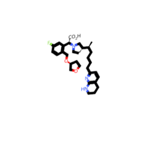 C[C@@H](CCCCc1ccc2c(n1)NCCC2)[C@@H]1CCN([C@@H](C(=O)O)c2cc(F)ccc2CO[C@H]2CCOC2)C1